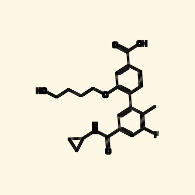 Cc1c(F)cc(C(=O)NC2CC2)cc1-c1ccc(C(=O)O)cc1OCCCCO